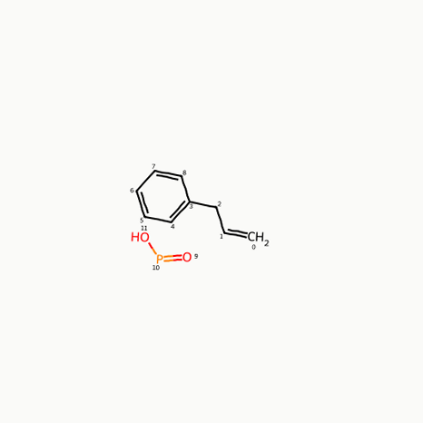 C=CCc1ccccc1.O=PO